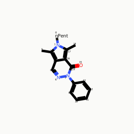 CCCCCn1c(C)c2cnn(-c3ccccc3)c(=O)c2c1C